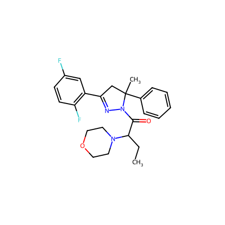 CCC(C(=O)N1N=C(c2cc(F)ccc2F)CC1(C)c1ccccc1)N1CCOCC1